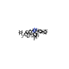 CC(C)(C)c1ccc(-c2cnc(-c3ccc(-c4ccccc4)cc3)n2-c2ccccc2)cc1